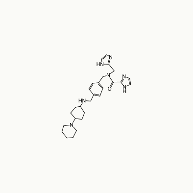 O=C(c1ncc[nH]1)N(Cc1ccc(CNC2CCC(N3CCCCC3)CC2)cc1)Cc1ncc[nH]1